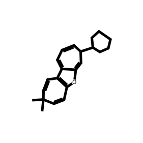 CC1(C)C=Cc2oc3c(c2C=C1)=CC=CC(C1CCCCC1)C=3